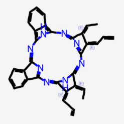 C=C/C=C1\C(=C/C)c2nc1nc1[nH]c(nc3nc(nc4[nH]c(n2)c2ccccc42)-c2ccccc2-3)c(=C/C=C)/c1=C\C